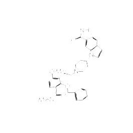 CNC(=O)c1ccc(OC)c(CCN2CCC(n3ccc4ccc(C(N)=O)cc43)CC2)c1OCc1ccccc1